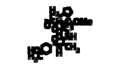 COC(C)C[C@H](NC(=O)[C@@H](C)NC(=O)[C@H]1CC[C@](C)(O)CC1)C(=O)N[C@@H](CC1=CCCC1)C(=O)[C@@]1(C)CO1